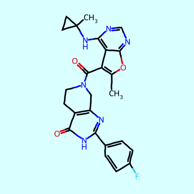 Cc1oc2ncnc(NC3(C)CC3)c2c1C(=O)N1CCc2c(nc(-c3ccc(F)cc3)[nH]c2=O)C1